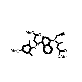 C#CCN(c1ccc(N(CC(=O)OC)Sc2c(C)cc(OC)cc2C)c2ccccc12)C(C)CC(=O)OC